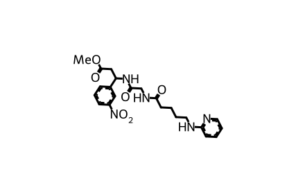 COC(=O)CC(NC(=O)CNC(=O)CCCCNc1ccccn1)c1cccc([N+](=O)[O-])c1